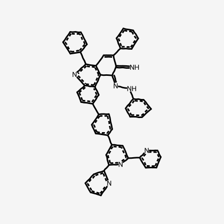 N=C1C(c2ccccc2)=Cc2c(-c3ccccc3)nc3ccc(-c4ccc(-c5cc(-c6ccccn6)nc(-c6ccccn6)c5)cc4)cc3c2/C1=N/Nc1ccccc1